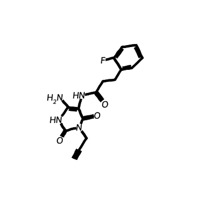 C#CCn1c(=O)[nH]c(N)c(NC(=O)CCc2ccccc2F)c1=O